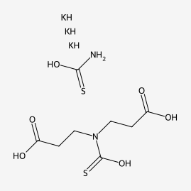 NC(O)=S.O=C(O)CCN(CCC(=O)O)C(O)=S.[KH].[KH].[KH]